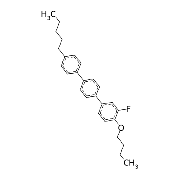 CCCCCc1ccc(-c2ccc(-c3ccc(OCCCC)c(F)c3)cc2)cc1